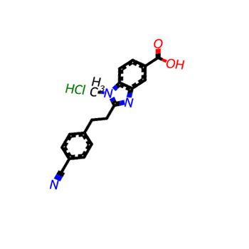 Cl.Cn1c(CCc2ccc(C#N)cc2)nc2cc(C(=O)O)ccc21